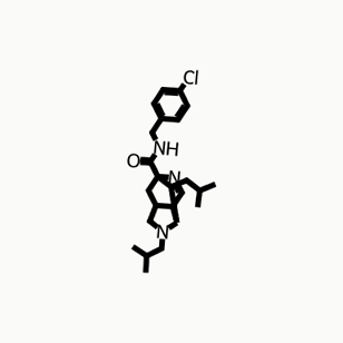 CC(C)CC1C2C3C=NC1(C(=O)NCc1ccc(Cl)cc1)CC3CN2CC(C)C